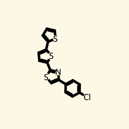 Clc1ccc(-c2csc(-c3ccc(-c4cccs4)s3)n2)cc1